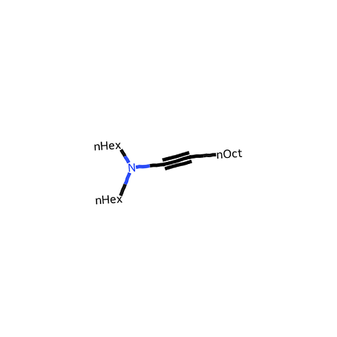 CCCCCCCCC#CN(CCCCCC)CCCCCC